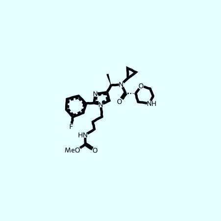 COC(=O)NCCCn1cc([C@@H](C)N(C(=O)[C@H]2CNCCO2)C2CC2)nc1-c1cccc(F)c1